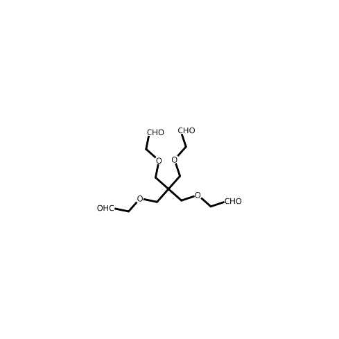 O=CCOCC(COCC=O)(COCC=O)COCC=O